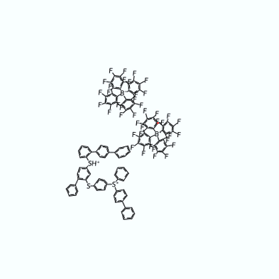 Fc1c(F)c(F)c([B-](c2c(F)c(F)c(F)c(F)c2F)(c2c(F)c(F)c(F)c(F)c2F)c2c(F)c(F)c(F)c(F)c2F)c(F)c1F.Fc1c(F)c(F)c([B-](c2c(F)c(F)c(F)c(F)c2F)(c2c(F)c(F)c(F)c(F)c2F)c2c(F)c(F)c(F)c(F)c2F)c(F)c1F.c1ccc(-c2ccc(-c3ccccc3[SH+]c3ccc(-c4ccccc4)c(Sc4ccc([S+](c5ccccc5)c5ccc(-c6ccccc6)cc5)cc4)c3)cc2)cc1